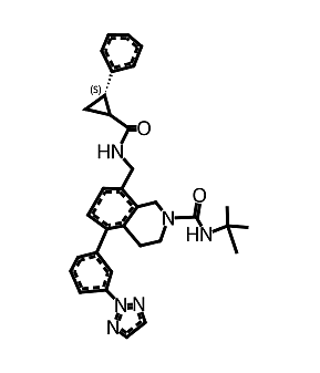 CC(C)(C)NC(=O)N1CCc2c(-c3cccc(-n4nccn4)c3)ccc(CNC(=O)C3C[C@@H]3c3ccccc3)c2C1